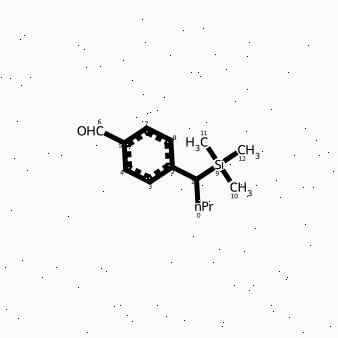 CCCC(c1ccc(C=O)cc1)[Si](C)(C)C